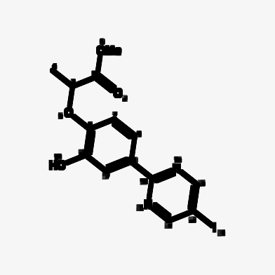 COC(=O)C(C)Oc1ccc(-c2ncc(I)cn2)cc1O